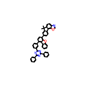 CC1(C)c2cc(-c3ccc(-c4cccc(-c5nc(-c6ccccc6)nc(-c6ccccc6)n5)c4)c4c3oc3ccccc34)ccc2-c2c1ccc1ncoc21